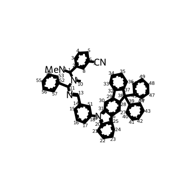 CNC(c1cccc(C#N)c1)N(C)C(/N=C/c1cccc(-n2c3ccccc3c3cc4c(cc32)-c2ccccc2C4(c2ccccc2)c2ccccc2)c1)c1ccccc1